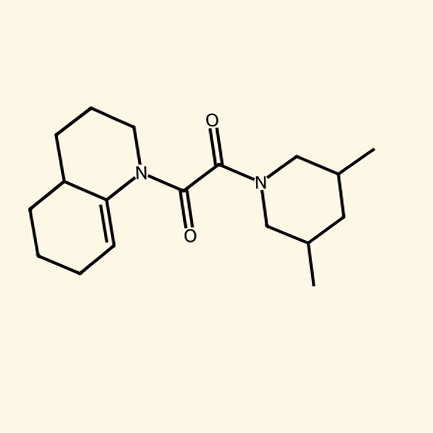 CC1CC(C)CN(C(=O)C(=O)N2CCCC3CCCC=C32)C1